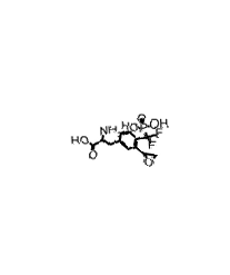 NC(Cc1ccc(C(F)(F)P(=O)(O)O)c(C2CO2)c1)C(=O)O